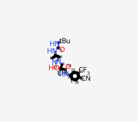 CC(C)(C)NC(=O)Nc1cnn(CC(C)(O)C(=O)Nc2ccc(C#N)c(C(F)(F)F)c2)c1